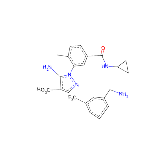 Cc1ccc(C(=O)NC2CC2)cc1-n1ncc(C(=O)O)c1N.NCc1cccc(C(F)(F)F)c1